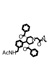 CC(=O)NCc1cccc(C2[C@@H](C(=O)c3ccccc3)CN(CC(=O)N(C)C)C[C@H]2C(=O)c2ccccc2)c1